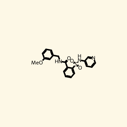 COc1cccc(CNC(=O)c2ccccc2S(=O)(=O)Nc2cccnc2)c1